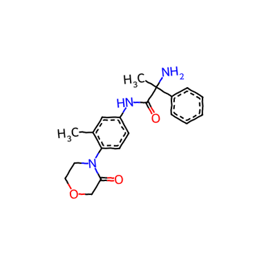 Cc1cc(NC(=O)C(C)(N)c2ccccc2)ccc1N1CCOCC1=O